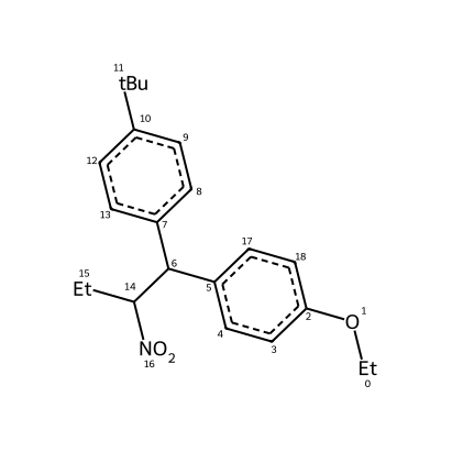 CCOc1ccc(C(c2ccc(C(C)(C)C)cc2)C(CC)[N+](=O)[O-])cc1